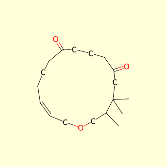 CC1COCC=CCCCC(=O)CCCC(=O)CC1(C)C